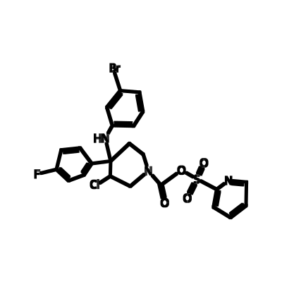 O=C(OS(=O)(=O)c1ccccn1)N1CCC(Nc2cccc(Br)c2)(c2ccc(F)cc2)C(Cl)C1